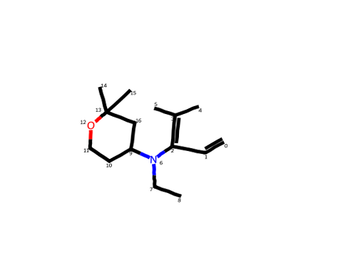 C=CC(=C(C)C)N(CC)C1CCOC(C)(C)C1